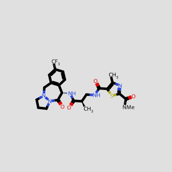 CNC(=O)c1nc(C)c(C(=O)NC[C@@H](C)C(=O)N[C@@H]2C(=O)N3CCCN3Cc3cc(C(F)(F)F)ccc32)s1